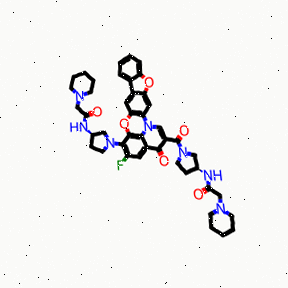 O=C(CN1CCCCC1)N[C@@H]1CCN(C(=O)c2cn3c4c(c(N5CC[C@@H](NC(=O)CN6CCCCC6)C5)c(F)cc4c2=O)Oc2cc4c(cc2-3)oc2ccccc24)C1